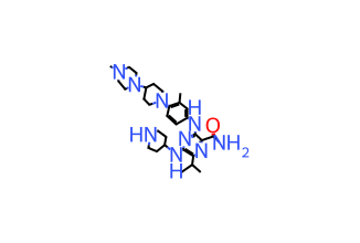 Cc1cc(Nc2nc(NC3CCNCC3)c(C(C)C)nc2C(N)=O)ccc1N1CCC(N2CCN(C)CC2)CC1